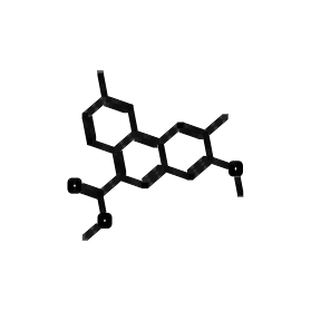 COC(=O)c1cc2cc(OC)c(C)cc2c2cc(C)ccc12